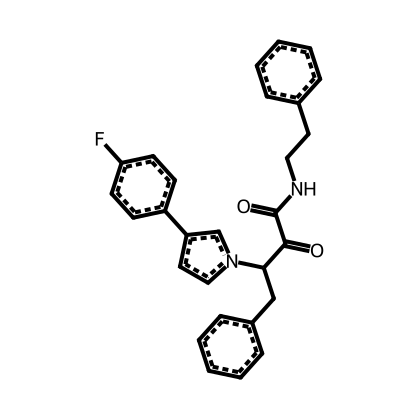 O=C(NCCc1ccccc1)C(=O)C(Cc1ccccc1)n1ccc(-c2ccc(F)cc2)c1